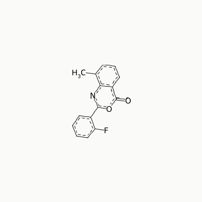 Cc1cccc2c(=O)oc(-c3ccccc3F)nc12